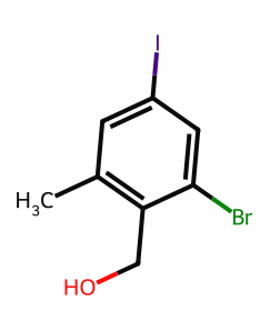 Cc1cc(I)cc(Br)c1CO